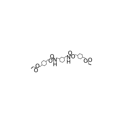 C=CC(=O)OCC1CCC(COC(=O)NCC2CCCC(CNC(=O)OCC3CCC(COC(=O)C=C)CC3)C2)CC1